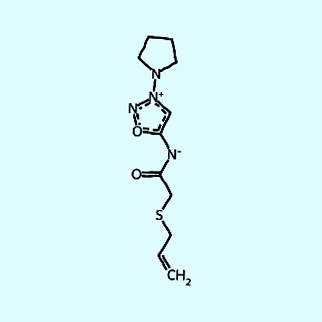 C=CCSCC(=O)[N-]c1c[n+](N2CCCC2)no1